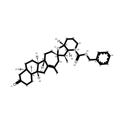 CC1=C2C[C@H]3[C@@H](CC[C@@H]4CC(=O)CC[C@@]43C)[C@@H]2CC[C@@]2(C1)O[C@@H]1CCCN(C(=O)OCc3ccccc3)[C@H]1[C@H]2C